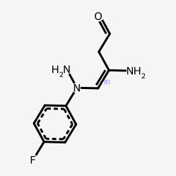 N/C(=C/N(N)c1ccc(F)cc1)CC=O